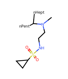 CCCCCCCC(CCCCC)N(C)CCNS(=O)(=O)C1CC1